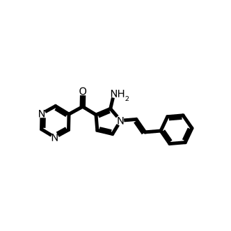 Nc1c(C(=O)c2cncnc2)ccn1C=Cc1ccccc1